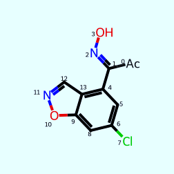 CC(=O)C(=NO)c1cc(Cl)cc2oncc12